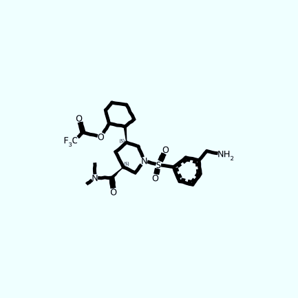 CN(C)C(=O)[C@H]1C[C@@H](C2CCCCC2OC(=O)C(F)(F)F)CN(S(=O)(=O)c2cccc(CN)c2)C1